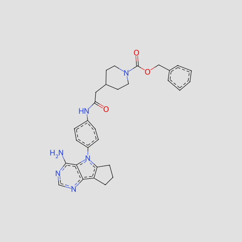 Nc1ncnc2c3c(n(-c4ccc(NC(=O)CC5CCN(C(=O)OCc6ccccc6)CC5)cc4)c12)CCC3